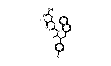 CC(NC(=O)CC(CC(=O)O)C(=O)O)C(Cc1ccc2ccccc2c1)c1ccc(Cl)cc1